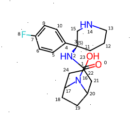 O=C(N[C@]1(c2ccc(F)cc2)CCCNC1)N1C2CCC1CC(O)C2